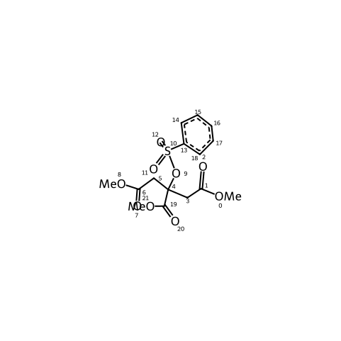 COC(=O)CC(CC(=O)OC)(OS(=O)(=O)c1ccccc1)C(=O)OC